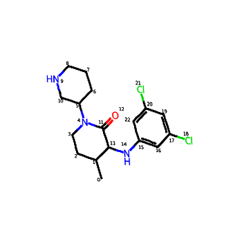 CC1CCN(C2CCCNC2)C(=O)C1Nc1cc(Cl)cc(Cl)c1